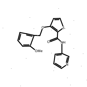 COc1ccccc1COc1ccsc1C(=O)Nc1cccnc1